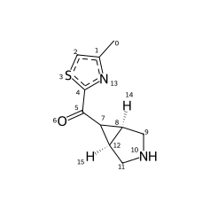 Cc1csc(C(=O)C2[C@H]3CNC[C@@H]23)n1